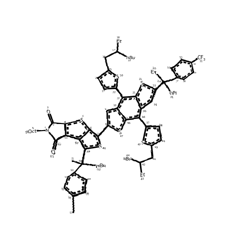 CCCCCCCCN1C(=O)c2sc3c(-c4cc5c(-c6ccc(CC(CC)CCCC)s6)c6sc(C(CC)(CCC)c7ccc(C(F)(F)F)cc7)cc6c(-c6ccc(CC(CC)CCCC)s6)c5s4)sc(C(C)(CCCC)c4ccc(C)cc4)c3c2C1=O